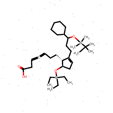 CC[Si](CC)(CC)OC1CC=C(CCC(O[Si](C)(C)C(C)(C)C)C2CCCCC2)[C@H]1CCC=C=CCC(=O)O